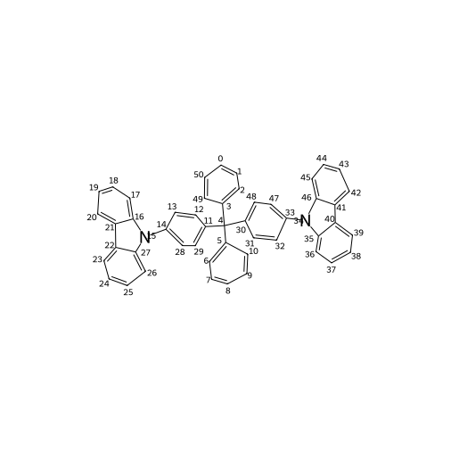 c1ccc(C(c2ccccc2)(c2ccc(-n3c4ccccc4c4ccccc43)cc2)c2ccc(-n3c4ccccc4c4ccccc43)cc2)cc1